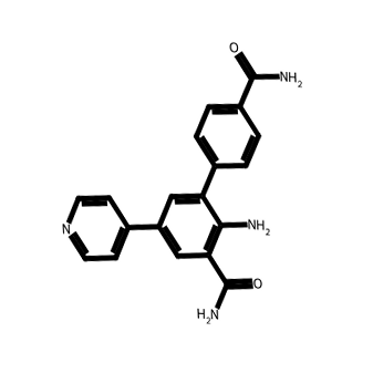 NC(=O)c1ccc(-c2cc(-c3ccncc3)cc(C(N)=O)c2N)cc1